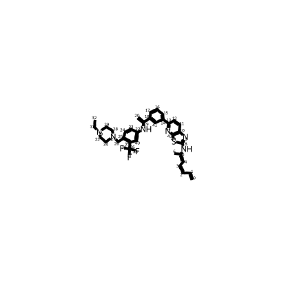 C=C/C=C\C=C(/C)Nc1nc2ccc(-c3cccc(C(=C)Nc4ccc(CN5CCN(CC)CC5)c(C(F)(F)F)c4)c3)nc2s1